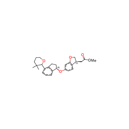 COC(=O)C[C@@H]1COc2cc(O[C@@H]3CCc4c(C5OCCCC5(C)C)cccc43)ccc21